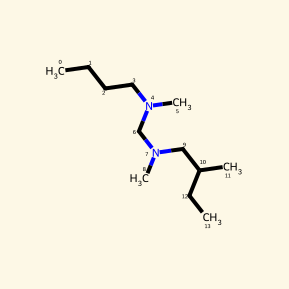 CCCCN(C)CN(C)CC(C)CC